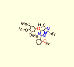 CCCc1nc(C)c2c(Oc3cc(OC)c(OC)c(OC)c3)nc(-c3ccccc3OCC)nn12